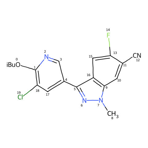 CC(C)COc1ncc(-c2nn(C)c3cc(C#N)c(F)cc23)cc1Cl